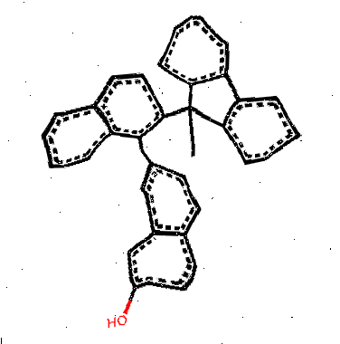 CC1(c2ccc3ccccc3c2-c2ccc3ccc(O)cc3c2)c2ccccc2-c2ccccc21